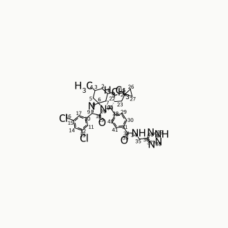 CC1CC(C)CC2(C1)N=C(c1cc(Cl)cc(Cl)c1)C(=O)N2[C@H](CCC1(C)CC1)c1ccc(C(=O)NCc2nn[nH]n2)cc1